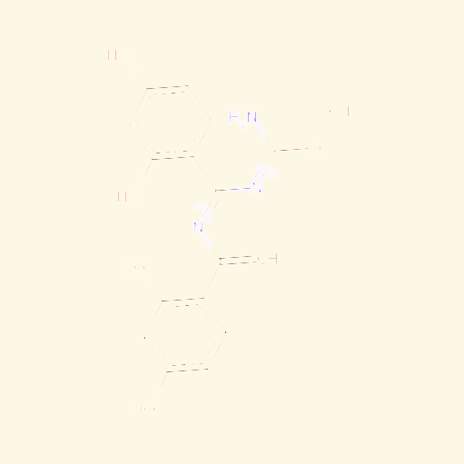 C=C(/N=C(\N=C(/N)OC)c1ccc(O)cc1O)c1ccc(O)cc1O